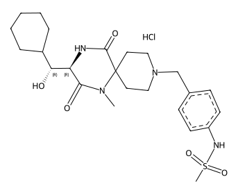 CN1C(=O)[C@@H]([C@H](O)C2CCCCC2)NC(=O)C12CCN(Cc1ccc(NS(C)(=O)=O)cc1)CC2.Cl